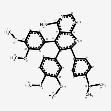 COc1ccc(-c2c(-c3ccc(N(C)C)cc3)nc3ncnc(N)c3c2-c2ccc(OC)c(OC)c2)cc1OC